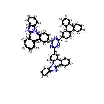 c1ccc2c(c1)nc1c3ccccc3c3cc(-c4nc(-c5ccc6c7ccccc7c7ccccc7c6c5)nc(-c5ccc6c(c5)c5ccccc5c5nc7ccccc7n65)n4)ccc3n21